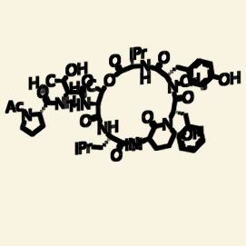 CC(=O)N1CCC[C@H]1C(=O)N[C@H](C(=O)N[C@@H]1C(=O)N[C@@H](CC(C)C)C(=O)N[C@H]2CC[C@@H](O)N(C2=O)[C@@H](Cc2ccccc2)C(=O)N(C)[C@@H](Cc2ccc(O)cc2)C(=O)N[C@@H](C(C)C)C(=O)O[C@@H]1C)[C@@H](C)O